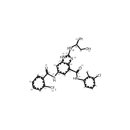 Cc1c(Cl)cccc1NC(=O)c1cc(NC(=O)c2ccccc2C(F)(F)F)cc2[nH]c(NC(CO)C(C)C)nc12